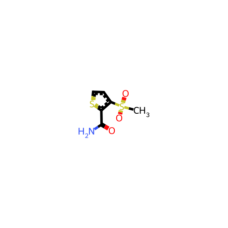 CS(=O)(=O)c1ccsc1C(N)=O